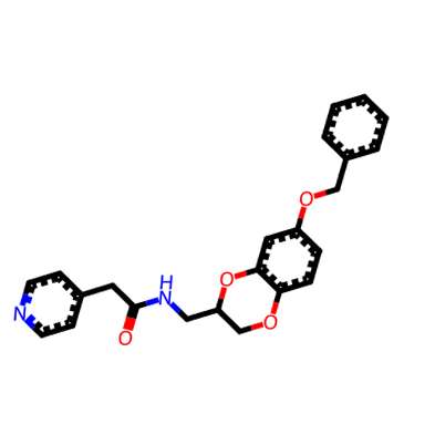 O=C(Cc1ccncc1)NCC1COc2ccc(OCc3ccccc3)cc2O1